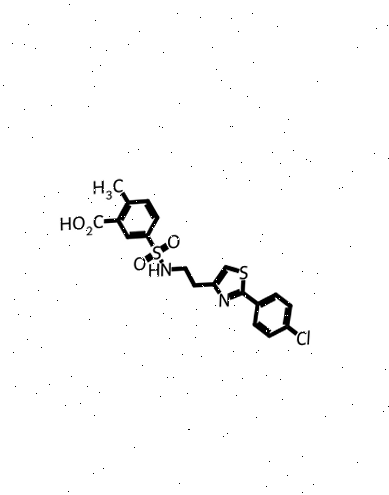 Cc1ccc(S(=O)(=O)NCCc2csc(-c3ccc(Cl)cc3)n2)cc1C(=O)O